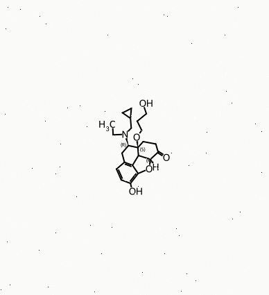 CCN(CC1CC1)[C@@H]1Cc2ccc(O)c3c2C2[C@@H](O3)C(=O)CC[C@]21OCCCO